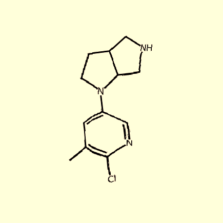 Cc1cc(N2CCC3CNCC32)cnc1Cl